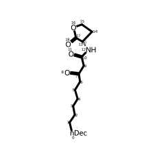 CCCCCCCCCCCCCCCCC(=O)CC(=O)N[C@H]1CCOC1=O